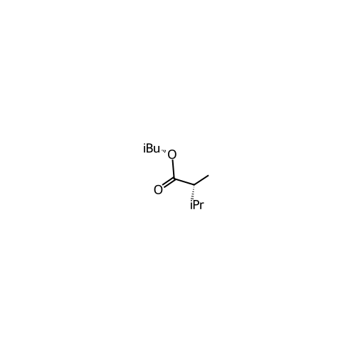 C[CH][C@@H](C)OC(=O)[C@H](C)C(C)C